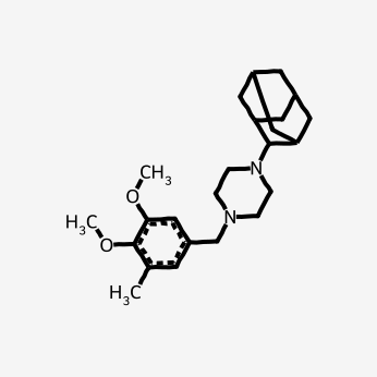 COc1cc(CN2CCN(C3C4CC5CC(C4)CC3C5)CC2)cc(C)c1OC